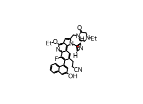 CCOc1nc2c(F)c(-c3cc(O)cc4ccccc34)c(CCC#N)cc2c2c1cc(CN1CCN(CC)CC1=O)n2C1[C@H]2C3[C@H]1N32